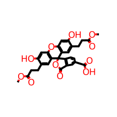 COC(=O)CCc1cc2c(cc1O)Oc1cc(O)c(CCC(=O)OC)cc1C21OC(=O)c2cc(C(=O)O)ccc21